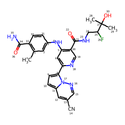 Cc1cc(Nc2cc(-c3ccc4cc(C#N)cnn34)ncc2C(=O)NCC(F)C(C)(C)O)ccc1C(N)=O